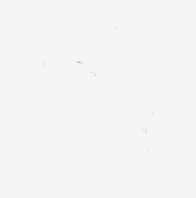 COc1cc(CN(CC2CCC(C(=O)O)CC2)[C@@H](C)c2ccc(Cl)cc2)ccc1CCCN1C(=O)CCC1=O